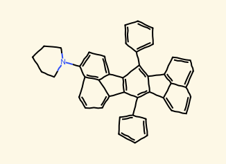 c1ccc(-c2c3c4cccc5cccc(c3c(-c3ccccc3)c3c6ccc(N7CCCCC7)c7cccc(c23)c76)c54)cc1